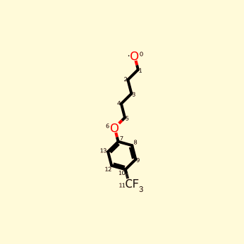 [O]CCCCCOc1ccc(C(F)(F)F)cc1